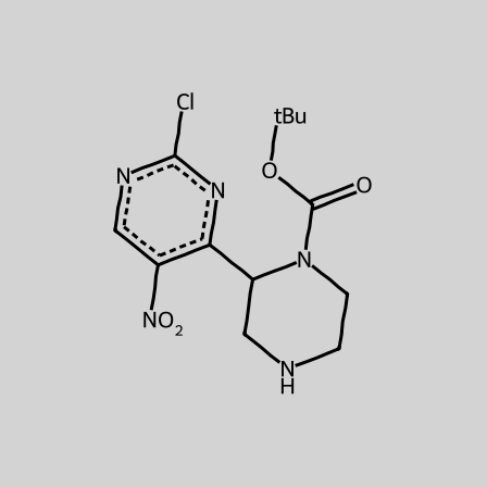 CC(C)(C)OC(=O)N1CCNCC1c1nc(Cl)ncc1[N+](=O)[O-]